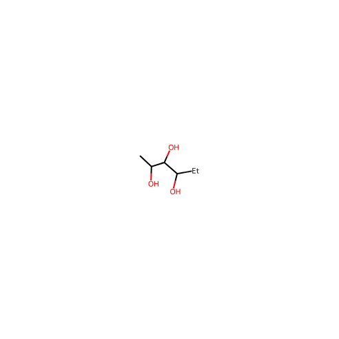 CCC(O)[C](O)C(C)O